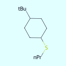 CCCSC1CCC(C(C)(C)C)CC1